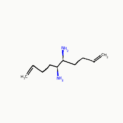 C=CCC[C@H](N)[C@@H](N)CCC=C